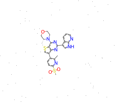 Cc1nc(S(C)(=O)=O)ccc1-c1csc2c(N3CCOC[C@H]3C)nc(-c3c[nH]c4ncccc34)nc12